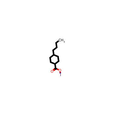 CCCCC1CCC(C(=O)OI)CC1